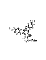 CNc1cccc2c1[nH]c1nc(Oc3ccc[n+](O)c3)nc(Oc3cnc(C)nc3)c12